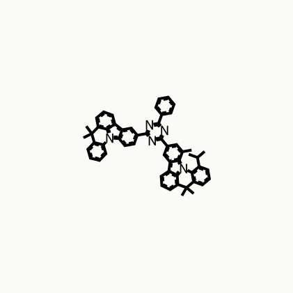 Cc1cc(-c2nc(-c3ccccc3)nc(-c3ccc4c(c3)c3cccc5c3n4-c3ccccc3C5(C)C)n2)cc2c3cccc4c3n(c12)-c1c(C(C)C)cccc1C4(C)C